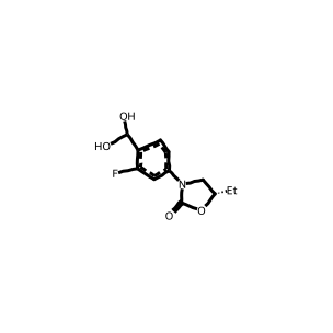 CC[C@H]1CN(c2ccc(C(O)O)c(F)c2)C(=O)O1